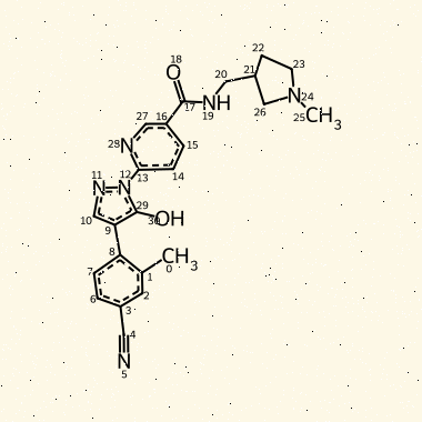 Cc1cc(C#N)ccc1-c1cnn(-c2ccc(C(=O)NCC3CCN(C)C3)cn2)c1O